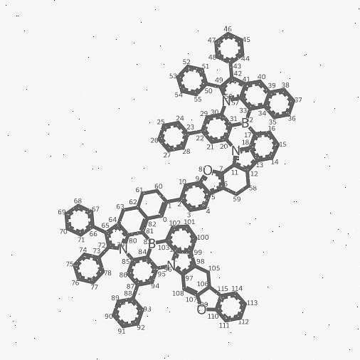 C1=C(c2ccc3c4c(oc3c2)-c2c(c3cccc5c3n2-c2cc(-c3ccccc3)cc3c2B5c2c5ccccc5cc5c(-c6ccccc6)c(-c6ccccc6)n-3c25)CC4)CCC2Cc3c(-c4ccccc4)c(-c4ccccc4)n4c3C(=C12)B1c2c-4cc(-c3ccccc3)cc2-n2c3c(c4cccc1c42)CC1C(=C3)Oc2ccccc21